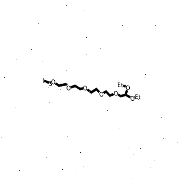 CCOC(COCCOCCOCCOCCOSI)OCC